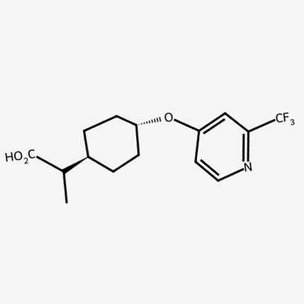 CC(C(=O)O)[C@H]1CC[C@H](Oc2ccnc(C(F)(F)F)c2)CC1